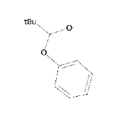 CC(C)(C)C([O])Oc1ccccc1